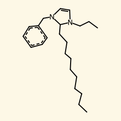 CCCCCCCCCCC1N(CCC)C=CN1Cc1ccccc1